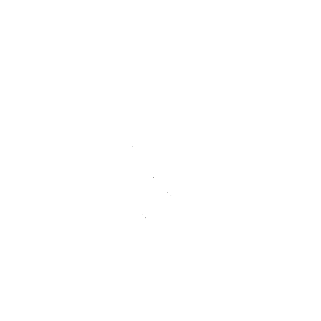 CCn1c(CO)nn(-c2c(C(C)Cc3ccccc3O)c3ccccc3c(=O)n2-c2cccc(F)c2)c1=O